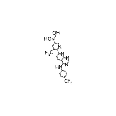 OC[C@@H](O)c1cnc(-c2ccc3c(Nc4ccc(C(F)(F)F)cc4)ncnc3n2)c(C(F)(F)F)c1